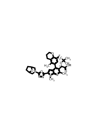 Cc1nc2c(cc(-c3nnc(N4CC5CCC(C4)O5)o3)n2C)c(-c2cc(F)c3c(c2C)CCCO3)c1[C@H](OC(C)(C)C)C(=O)O